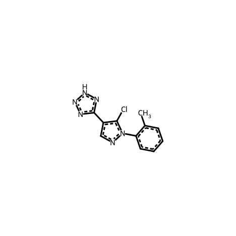 Cc1ccccc1-n1ncc(-c2nn[nH]n2)c1Cl